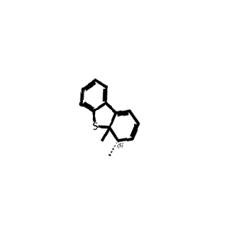 C[C@H]1C=CC=C2c3ccccc3SC21C